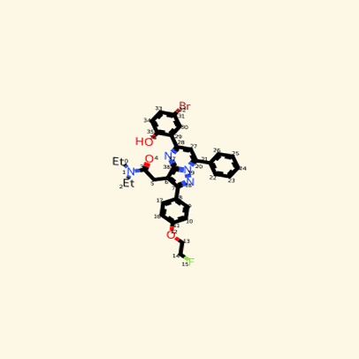 CCN(CC)C(=O)Cc1c(-c2ccc(OCCF)cc2)nn2c(-c3ccccc3)cc(-c3cc(Br)ccc3O)nc12